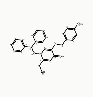 COc1ccc(COc2cn(OC(c3ccccc3)c3ccccc3)c(CO)cc2=O)cc1